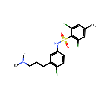 CCN(CC)CCCc1cc(NS(=O)(=O)c2c(Cl)cc(C(F)(F)F)cc2Cl)ccc1Cl